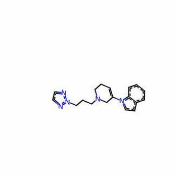 C1=C(n2ccc3ccccc32)CN(CCCn2nccn2)CC1